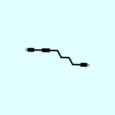 N#CC#CCCCCC#N